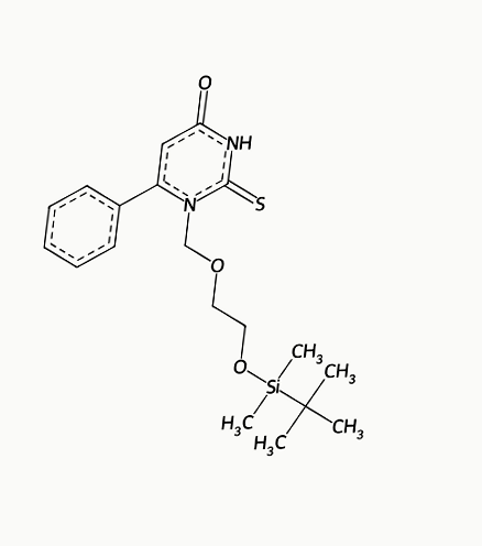 CC(C)(C)[Si](C)(C)OCCOCn1c(-c2ccccc2)cc(=O)[nH]c1=S